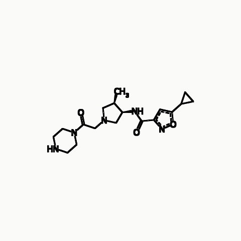 C[C@@H]1CN(CC(=O)N2CCNCC2)C[C@@H]1NC(=O)c1cc(C2CC2)on1